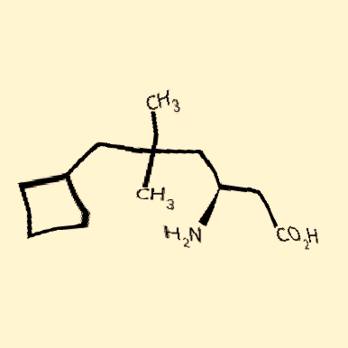 CC(C)(CC1CCC1)C[C@H](N)CC(=O)O